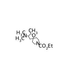 CCOC(=O)N1CCC2(CC1)CC(N(C)C)C(C)O2